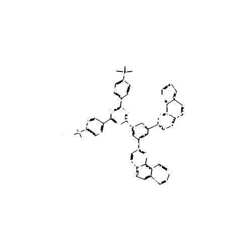 CC(C)(C)c1ccc(-c2nc(-c3ccc(C(C)(C)C)cc3)nc(-c3cc(-c4ccc5ccc6ccncc6c5n4)cc(-c4ccc5ccc6cccnc6c5n4)c3)n2)cc1